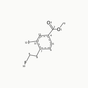 COC(=O)c1ccc(CCF)c(I)c1